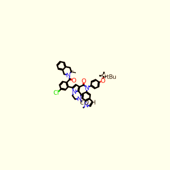 C[C@@H]1Cc2ccccc2CN1C(=O)c1ccc(Cl)cc1-c1cc(C(=O)N(c2ccc(O[Si](C)(C)C(C)(C)C)cc2)c2ccc3c(ccn3C)c2)c2n1CCN(C(=O)O)C2